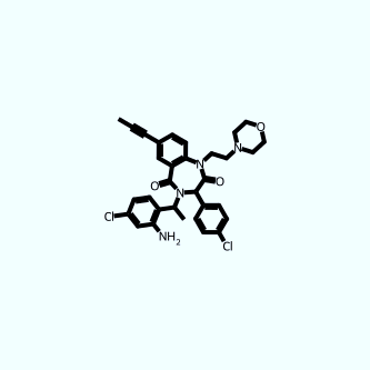 CC#Cc1ccc2c(c1)C(=O)N(C(C)c1ccc(Cl)cc1N)C(c1ccc(Cl)cc1)C(=O)N2CCN1CCOCC1